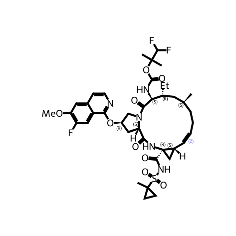 CC[C@@H]1C[C@@H](C)CC/C=C\[C@@H]2C[C@@]2(C(=O)NS(=O)(=O)C2(C)CC2)NC(=O)[C@@H]2C[C@@H](Oc3nccc4cc(OC)c(F)cc34)CN2C(=O)[C@H]1NC(=O)OC(C)(C)C(F)F